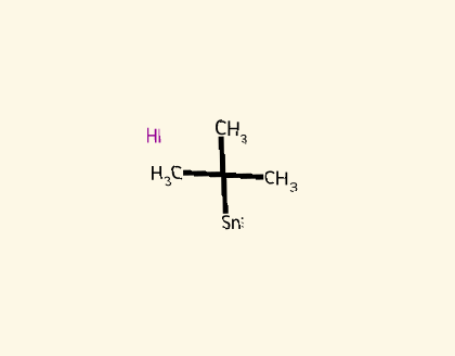 C[C](C)(C)[Sn].I